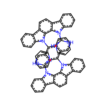 C1=CN=C(n2c3ccccc3c3ccc4c5ccccc5n(-c5c6ccccc6c(-n6c7ccccc7c7ccc8c9ccccc9n(C9NC=CCN9)c8c76)c6ccccc56)c4c32)NC1